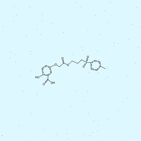 Cc1ccc(S(=O)(=O)CCCOC(=O)COc2ccc(O)c(C(=O)O)c2)cc1